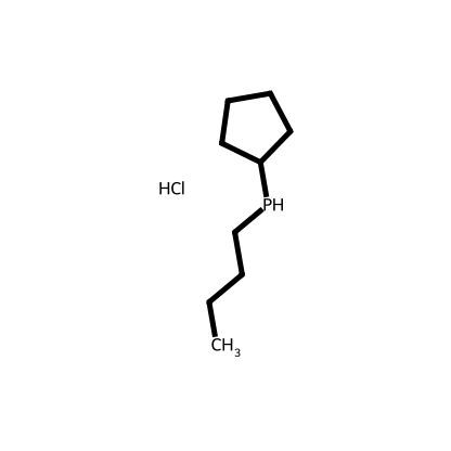 CCCCPC1CCCC1.Cl